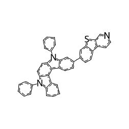 c1ccc(-n2c3ccccc3c3c4c5ccc(-c6ccc7c(c6)sc6cnccc67)cc5n(-c5ccccc5)c4ccc32)cc1